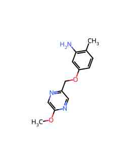 COc1cnc(COc2ccc(C)c(N)c2)cn1